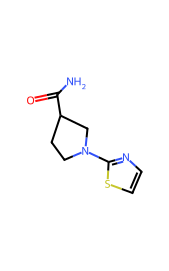 NC(=O)C1CCN(c2nccs2)C1